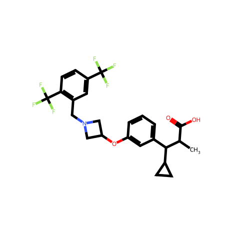 CC(C(=O)O)C(c1cccc(OC2CN(Cc3cc(C(F)(F)F)ccc3C(F)(F)F)C2)c1)C1CC1